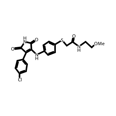 COCCNC(=O)CSc1ccc(NC2=C(c3ccc(Cl)cc3)C(=O)NC2=O)cc1